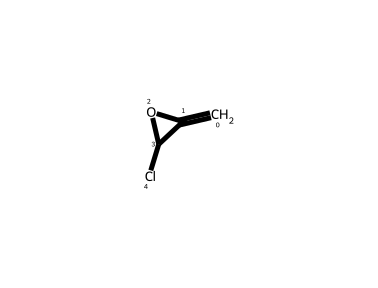 C=C1OC1Cl